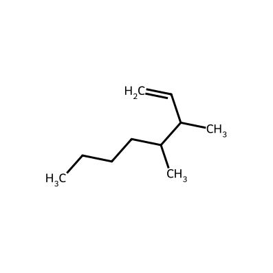 C=CC(C)C(C)CCCC